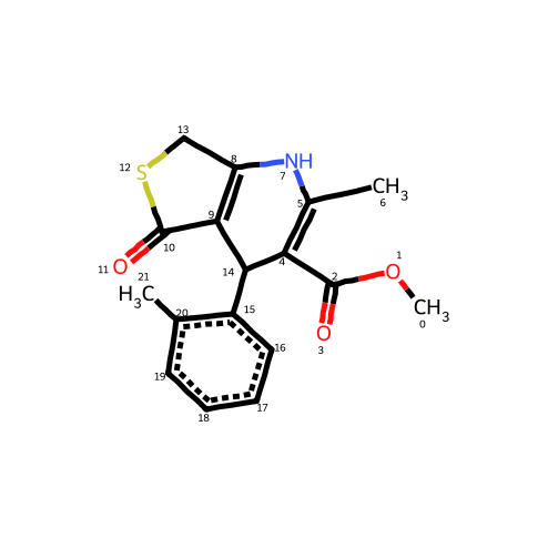 COC(=O)C1=C(C)NC2=C(C(=O)SC2)C1c1ccccc1C